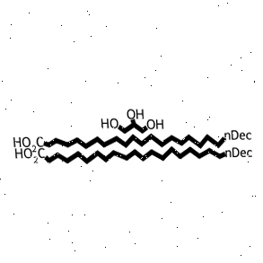 CCCCCCCCCCCCCCCCCCCCCCCCCCCCCC(=O)O.CCCCCCCCCCCCCCCCCCCCCCCCCCCCCC(=O)O.OCC(O)CO